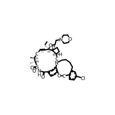 CC[C@@]1(OCCN2CCOCC2)/C=C/C[C@H](C)[C@@H](C)S(=O)(=O)NC(=O)c2ccc3c(c2)N(CCCCc2cc(Cl)ccc2CO3)C[C@@H]2CC[C@H]21